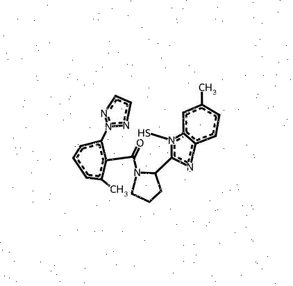 Cc1ccc2nc(C3CCCN3C(=O)c3c(C)cccc3-n3nccn3)n(S)c2c1